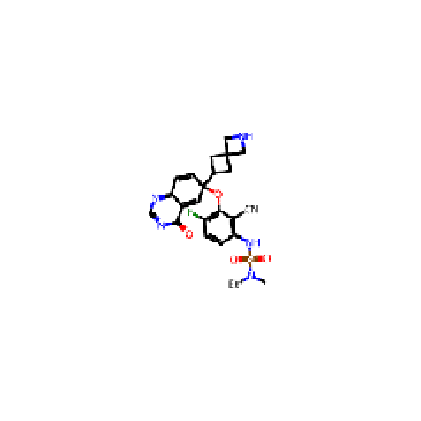 CCN(C)S(=O)(=O)Nc1ccc(F)c(OC2(C3CC4(CNC4)C3)C=CC3=NC=NC(=O)C3=C2)c1C#N